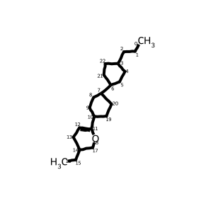 CCCC1CCC(C2CCC(C3=CCC(CC)CO3)CC2)CC1